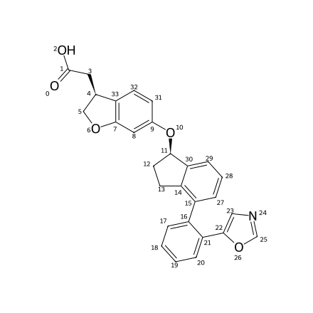 O=C(O)C[C@@H]1COc2cc(O[C@@H]3CCc4c(-c5ccccc5-c5cnco5)cccc43)ccc21